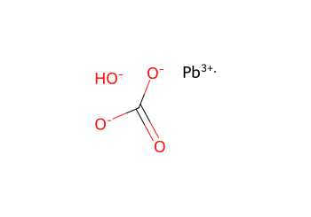 O=C([O-])[O-].[OH-].[Pb+3]